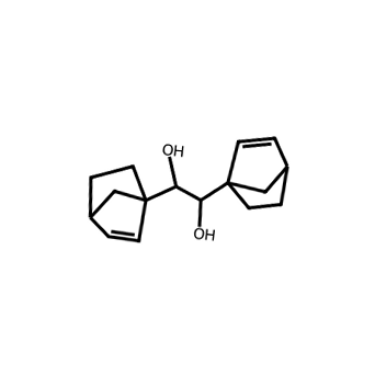 OC(C(O)C12C=CC(CC1)C2)C12C=CC(CC1)C2